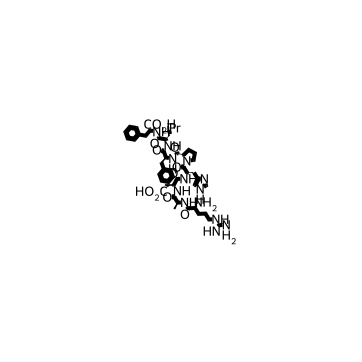 CC(C)C[C@H](NC(=O)[C@H](Cc1ccccc1)NC(=O)[C@@H]1CCCN1C(=O)[C@H](Cc1c[nH]cn1)NC(=O)[C@H](CC(=O)O)NC(=O)[C@H](C)NC(=O)[C@@H](N)CCCNC(=N)N)C(=O)N[C@@H](Cc1ccccc1)C(=O)O